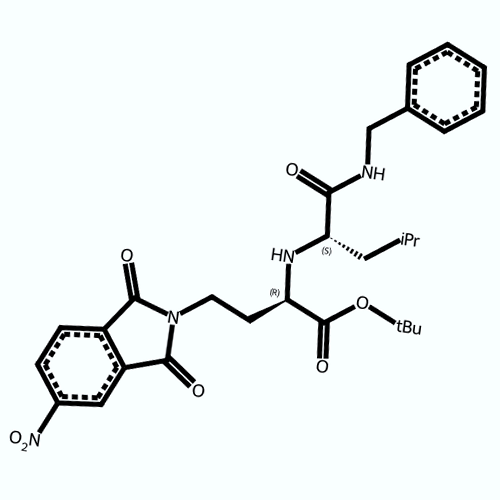 CC(C)C[C@H](N[C@H](CCN1C(=O)c2ccc([N+](=O)[O-])cc2C1=O)C(=O)OC(C)(C)C)C(=O)NCc1ccccc1